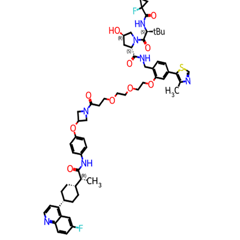 Cc1ncsc1-c1ccc(CNC(=O)[C@@H]2C[C@@H](O)CN2C(=O)[C@@H](NC(=O)C2(F)CC2)C(C)(C)C)c(OCCOCCOCCC(=O)N2CC(Oc3ccc(NC(=O)[C@H](C)[C@H]4CC[C@@H](c5ccnc6ccc(F)cc65)CC4)cc3)C2)c1